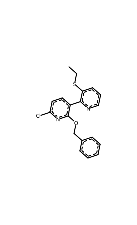 CCSc1cccnc1-c1ccc(Cl)nc1OCc1ccccc1